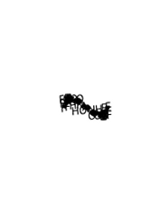 O=C(COc1ccc(F)c(C(F)(F)F)c1)NCC[C@H](O)CNC(=O)COc1ccc(F)c(C(F)(F)F)c1